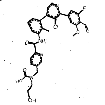 COc1cc(-c2nccc(-c3cccc(NC(=O)c4ccc(CN(CCO)C(=O)O)cn4)c3C)c2Cl)cc(F)c1C=O